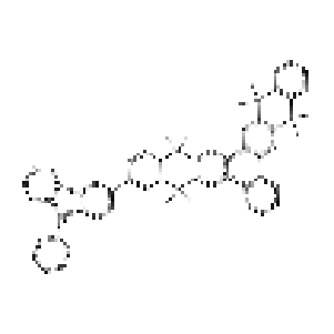 CC1(C)c2ccccc2C(C)(C)c2cc3c(cc21)c1ccccc1c1cc2c(cc31)C(C)(C)C1C=CC(c3ccc4c(c3)c3ccccc3n4-c3ccccc3)=CC1C2(C)C